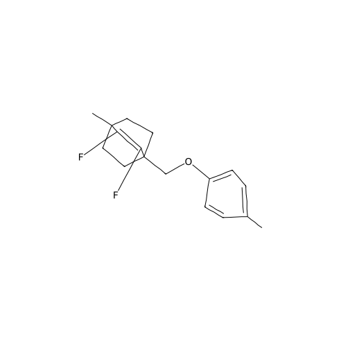 Cc1ccc(OCC23CCC(C)(CC2)C(F)=C3F)cc1